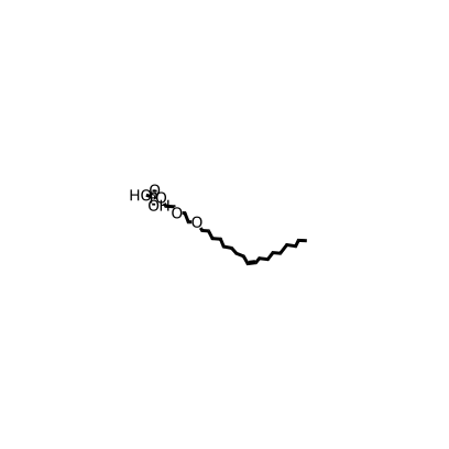 CCCCCCCC/C=C\CCCCCCCCOCCOCCOP(=O)(O)O